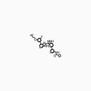 CN(C)CCOc1cc(F)cc(-c2cncc3[nH]c(-c4n[nH]c5ccc(-c6cncc(NC(=O)C7CCC7)c6)nc45)nc23)c1